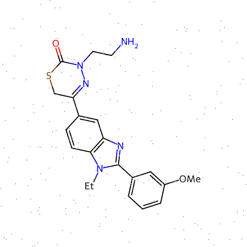 CCn1c(-c2cccc(OC)c2)nc2cc(C3=NN(CCN)C(=O)SC3)ccc21